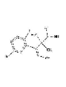 CC=C(c1cc(Br)ccc1F)C(C)(C)[S+](N)[O-]